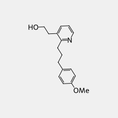 COc1ccc(CCCc2ncccc2CCO)cc1